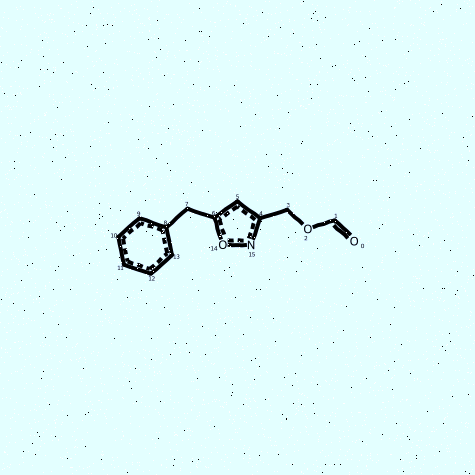 O=[C]OCc1cc(Cc2ccccc2)on1